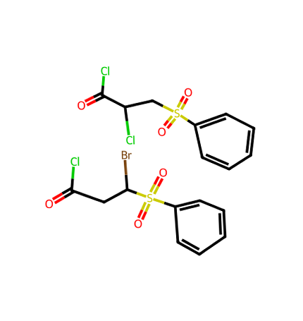 O=C(Cl)C(Cl)CS(=O)(=O)c1ccccc1.O=C(Cl)CC(Br)S(=O)(=O)c1ccccc1